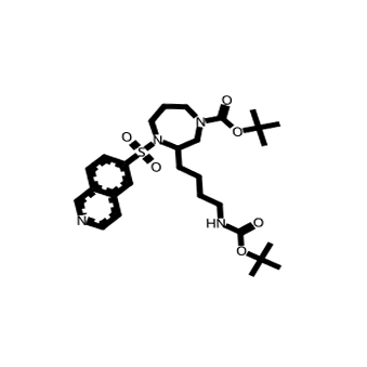 CC(C)(C)OC(=O)NCCCCC1CN(C(=O)OC(C)(C)C)CCCN1S(=O)(=O)c1ccc2cnccc2c1